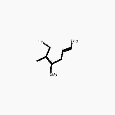 COC(C/C=C/C=O)C(C)CC(C)C